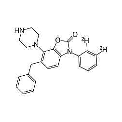 [2H]c1cccc(-n2c(=O)oc3c(N4CCNCC4)c(Cc4ccccc4)ccc32)c1[2H]